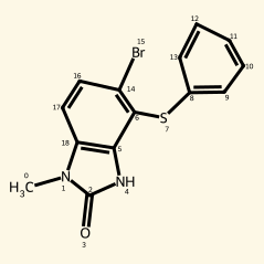 Cn1c(=O)[nH]c2c(Sc3ccccc3)c(Br)ccc21